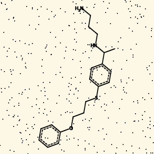 CC(NCCCN)c1ccc(SCCCOc2ccccc2)cc1